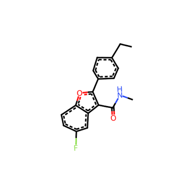 CCc1ccc(-c2oc3ccc(F)cc3c2C(=O)NC)cc1